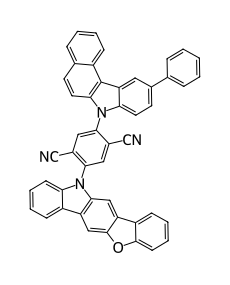 N#Cc1cc(-n2c3ccc(-c4ccccc4)cc3c3c4ccccc4ccc32)c(C#N)cc1-n1c2ccccc2c2cc3oc4ccccc4c3cc21